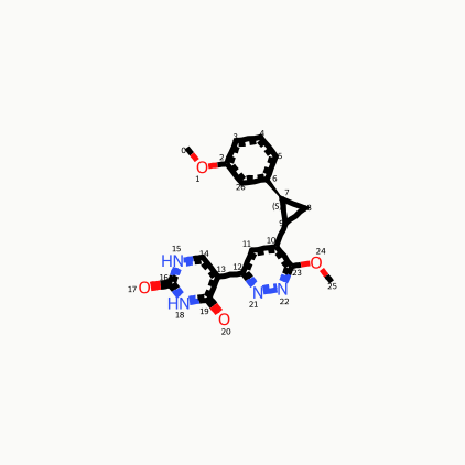 COc1cccc([C@H]2CC2c2cc(-c3c[nH]c(=O)[nH]c3=O)nnc2OC)c1